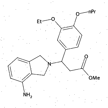 CCCOc1ccc(C(CC(=O)OC)N2Cc3cccc(N)c3C2)cc1OCC